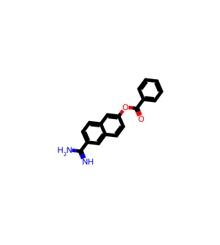 N=C(N)c1ccc2cc(OC(=O)c3ccccc3)ccc2c1